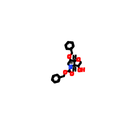 O=C(OCc1ccccc1)N1C[C@@H](OCc2ccccc2)[C@H]2OCC(O)[C@H]21